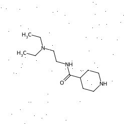 CCN(CC)CCNC(=O)C1CCNCC1